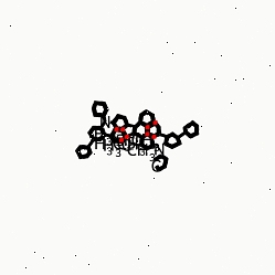 C[Si](C)(C)C1([Si](C)(C)C)c2cc(N(c3ccccc3)c3ccc(-c4ccccc4)cc3-c3ccccc3)ccc2-c2c1c1ccc(N(c3ccccc3)c3ccc(-c4ccccc4)cc3-c3ccccc3)cc1c1ccccc21